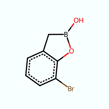 OB1Cc2cccc(Br)c2O1